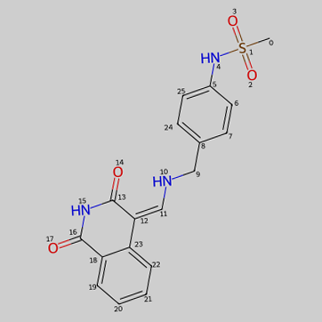 CS(=O)(=O)Nc1ccc(CNC=C2C(=O)NC(=O)c3ccccc32)cc1